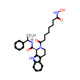 O=C(CCCCCCC(=O)N1CCc2c([nH]c3ccccc23)[C@H]1C(=O)NC(C(=O)O)c1ccccc1)NO